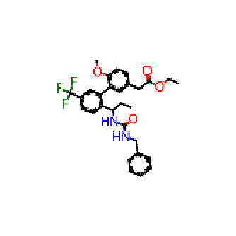 CCOC(=O)Cc1ccc(OC)c(-c2cc(C(F)(F)F)ccc2C(CC)NC(=O)NCc2ccccc2)c1